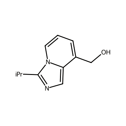 CC(C)c1ncc2c(CO)cccn12